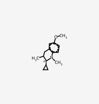 COc1ccc2c(c1)CC(C)[C@H](C1CC1)N2C